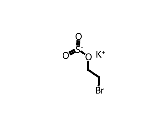 O=[S-](=O)OCCBr.[K+]